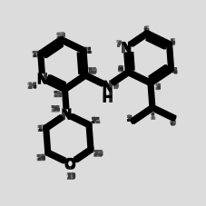 CC(C)c1cccnc1Nc1cccnc1N1CCOCC1